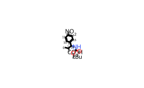 CC(C(=O)O)C(NC(=O)OC(C)(C)C)c1ccc([N+](=O)[O-])cc1